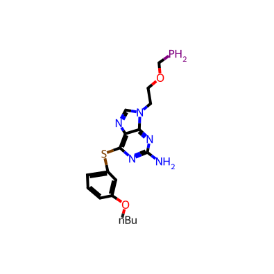 CCCCOc1cccc(Sc2nc(N)nc3c2ncn3CCOCP)c1